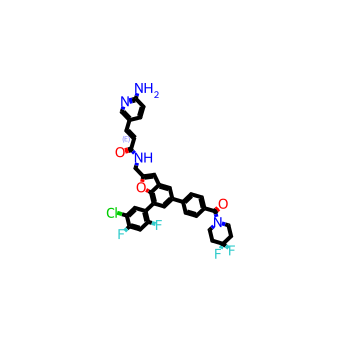 Nc1ccc(/C=C/C(=O)NCc2cc3cc(-c4ccc(C(=O)N5CCC(F)(F)CC5)cc4)cc(-c4cc(Cl)c(F)cc4F)c3o2)cn1